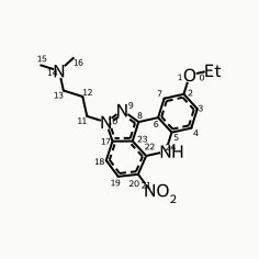 CCOc1ccc2c(c1)-c1nn(CCCN(C)C)c3ccc([N+](=O)[O-])c(c13)N2